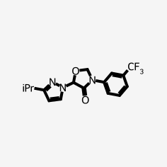 CC(C)c1ccn(C2OCN(c3cccc(C(F)(F)F)c3)C2=O)n1